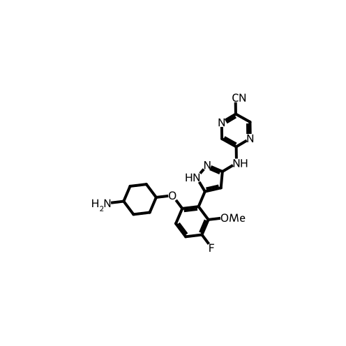 COc1c(F)ccc(OC2CCC(N)CC2)c1-c1cc(Nc2cnc(C#N)cn2)n[nH]1